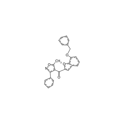 Cc1onc(-c2ccccc2)c1C(=O)c1cc2cccc(OCc3ccccc3)c2o1